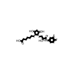 O=C(O)CCCCCC[C@@H]1[C@@H](CCC(O)C(=O)Nc2ccc(F)c(F)c2)[C@H](O)C[C@@H]1O